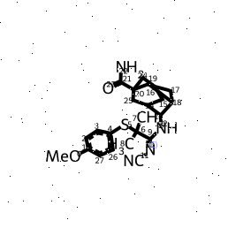 COc1ccc(SC(C)(C)/C(=N\C#N)NC2C3CC4CC2CC(C(N)=O)(C4)C3)cc1